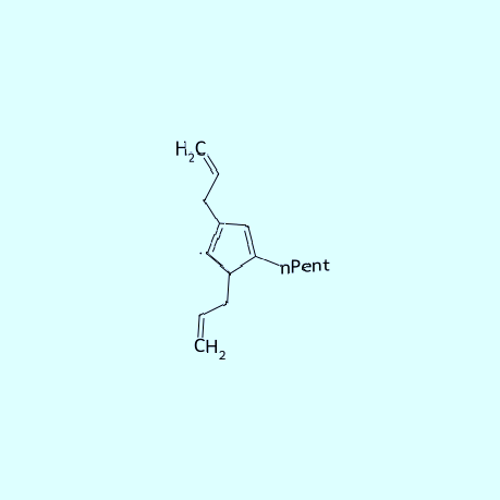 C=CCC1=[C]C(CC=C)C(CCCCC)=C1